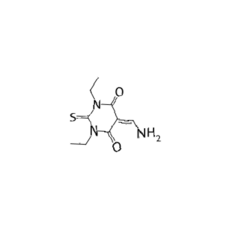 CCN1C(=O)C(=CN)C(=O)N(CC)C1=S